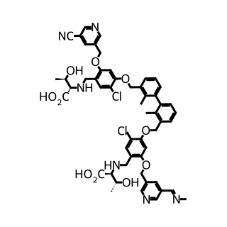 C/N=C/c1cncc(COc2cc(OCc3cccc(-c4cccc(COc5cc(OCc6cncc(C#N)c6)c(CN[C@H](C(=O)O)[C@@H](C)O)cc5Cl)c4C)c3C)c(Cl)cc2CN[C@H](C(=O)O)[C@@H](C)O)c1